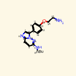 CCCCNc1ccc2ncc(-c3ccc(OCCN)cc3)n2n1